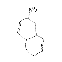 N[C@H]1C=CC2CCC=CC2C1